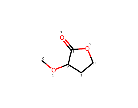 COC1C[CH]OC1=O